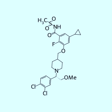 COC[C@H](c1ccc(Cl)c(Cl)c1)N1CCC(COc2cc(C3CC3)cc(C(=O)NS(C)(=O)=O)c2F)CC1